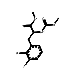 COC(=O)NC(Cc1cccc(F)c1Br)C(=O)OC